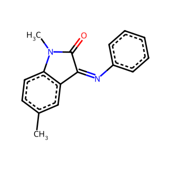 Cc1ccc2c(c1)/C(=N/c1ccccc1)C(=O)N2C